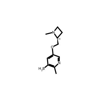 Bc1cc(OC[C@@H]2CCN2C)cnc1C